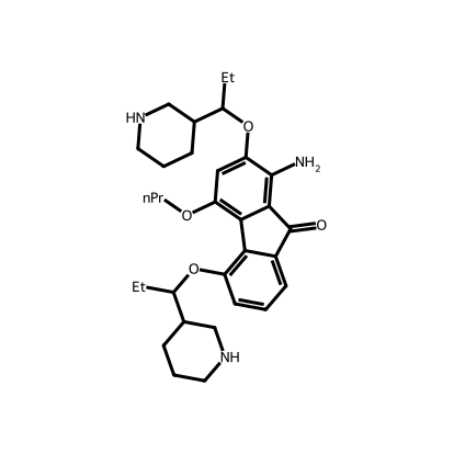 CCCOc1cc(OC(CC)C2CCCNC2)c(N)c2c1-c1c(OC(CC)C3CCCNC3)cccc1C2=O